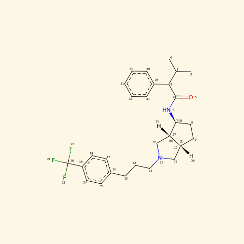 CC(C)C(C(=O)N[C@H]1CC[C@@H]2CN(CCCc3ccc(C(F)(F)F)cc3)C[C@@H]21)c1ccccc1